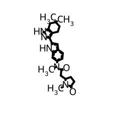 CN(C(=O)CC1CCC(=O)N1C)c1ccc2cc(-c3n[nH]c4c3CCC(C)(C)C4)[nH]c2c1